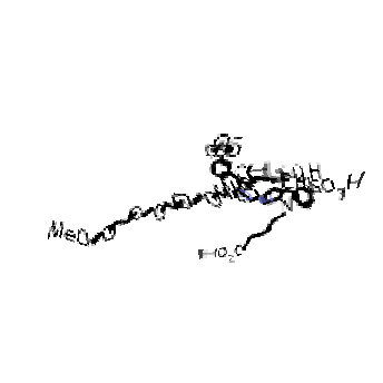 COCCOCCOCCOCCOCCOCCN1/C(=C/C=C/C2=[N+](CCCCCC(=O)O)c3ccc(S(=O)(=O)O)cc3C2(C)CCOC)C(C)(CCCS(=O)(=O)O)c2cc(S(=O)(=O)[O-])ccc21